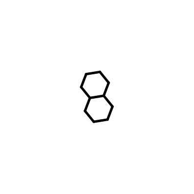 C1CCC2CCCCC2C1